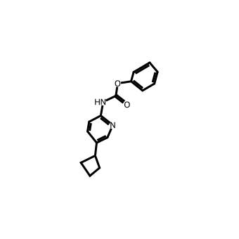 O=C(Nc1ccc(C2CCC2)cn1)Oc1ccccc1